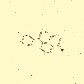 O=C(c1ccccc1)c1cccc([N+](=O)[O-])c1C(=O)Cl